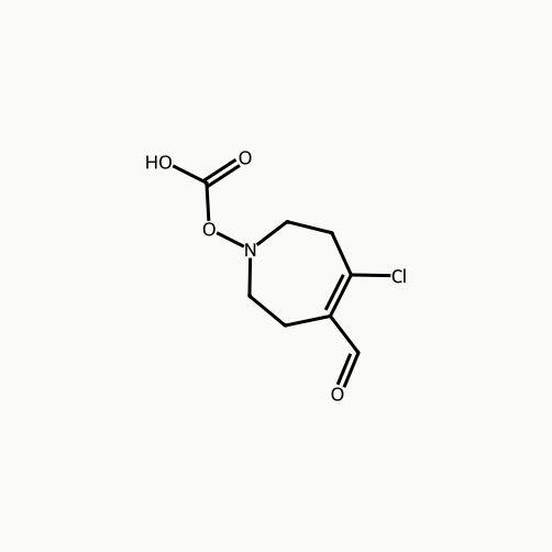 O=CC1=C(Cl)CCN(OC(=O)O)CC1